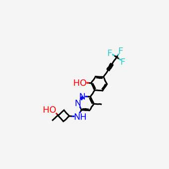 Cc1cc(NC2CC(C)(O)C2)nnc1-c1ccc(C#CC(F)(F)F)cc1O